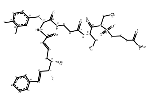 CNC(=O)CCCS(=O)(=O)N(CC#N)C(=O)[C@@H](CC(=O)CCNC(=O)[C@@H](Cc1ccc(C)c(C)c1)NC(=O)/C=C/C[C@H](O)[C@H](C)/C=C/c1ccccc1)CC(C)C